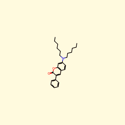 CCCCCCN(CCCCCC)c1ccc2cc(-c3ccccc3)c(=O)oc2c1